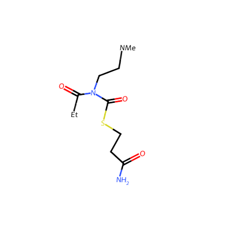 CCC(=O)N(CCNC)C(=O)SCCC(N)=O